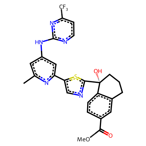 COC(=O)c1ccc2c(c1)CCC[C@]2(O)c1ncc(-c2cc(Nc3nccc(C(F)(F)F)n3)cc(C)n2)s1